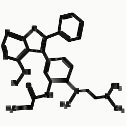 C=CC(=O)Nc1cc(-c2c(-c3ccccc3)oc3ncnc(NC(C)C)c23)ccc1N(C)CCN(C)C